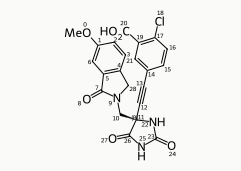 COc1ccc2c(c1)C(=O)N(C[C@@]1(C#Cc3ccc(Cl)c(C(=O)O)c3)NC(=O)NC1=O)C2